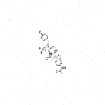 CC(=O)Nc1ccc2c(c1)CC[C@@]21OC(=O)N(CC(=O)N(Cc2ccc(F)cc2)[C@@H](C)C(F)(F)F)C1=O